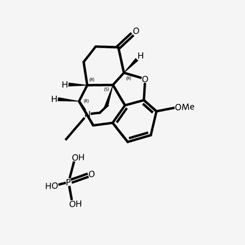 COc1ccc2c3c1O[C@H]1C(=O)CC[C@H]4[C@@H](C2)N(C)CC[C@]314.O=P(O)(O)O